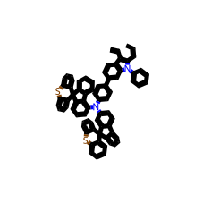 C=Cc1c(/C=C\C)n(-c2ccccc2)c2cc(-c3ccc(N(c4ccc5c(c4)C4(c6ccccc6Sc6ccccc64)c4ccccc4-5)c4cccc5c4-c4ccccc4C54c5ccccc5Sc5ccccc54)cc3)ccc12